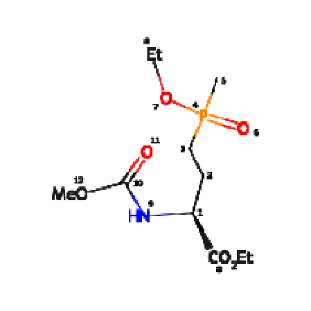 CCOC(=O)[C@H](CCP(C)(=O)OCC)NC(=O)OC